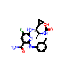 Cc1cccc(Nc2nc(N[C@@H](C3CC3)[C@H](C)NC(=O)O)c(F)cc2C(N)=O)c1